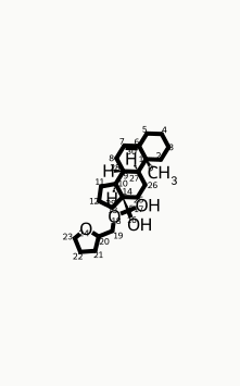 C[C@]12CCCCC1=CC[C@H]1[C@@H]3CCC[C@@]3(C(O)(O)OCC3CCCO3)CC[C@@H]12